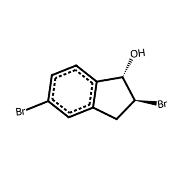 O[C@H]1c2ccc(Br)cc2C[C@@H]1Br